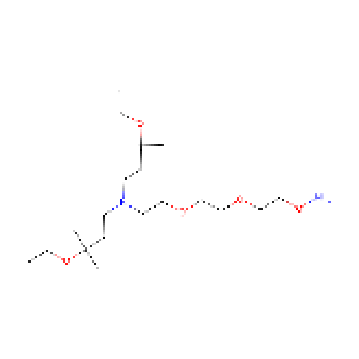 CCOC(C)(C)CCN(CCOCCOCCON)CCC(C)(C)OCC